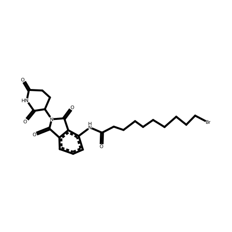 O=C1CCC(N2C(=O)c3cccc(NC(=O)CCCCCCCCCBr)c3C2=O)C(=O)N1